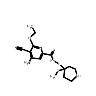 CCOc1nc(C(=O)NCC2(OC)CCNCC2)cc(N)c1C#N